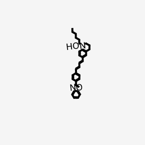 CCCCCC(O)N1CCCc2cc(/C=C/C=C/c3ccc(-c4nc5ccccc5o4)cc3)ccc21